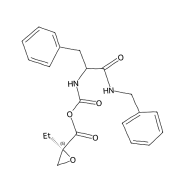 CC[C@@]1(C(=O)OC(=O)NC(Cc2ccccc2)C(=O)NCc2ccccc2)CO1